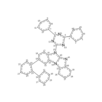 c1ccc(-c2nc(-c3ccccc3)nc(-n3c4ccc(-c5ccccc5-c5ccccc5)cc4n4c5ccccc5nc34)n2)cc1